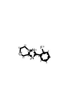 Fc1ccccc1-c1nc2n(n1)CCOC2